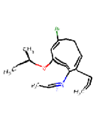 C=CC1=CCC(Br)=CC(OC(C)C)=C1/N=C\C